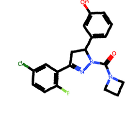 O=C(N1CCC1)N1N=C(c2cc(Cl)ccc2F)CC1c1cccc(O)c1